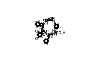 O=C1N[C@H](CCc2ccccc2)C(=O)N[C@@H](C(=O)O)Cc2ccc(cc2)NC(=O)[C@H](O)[C@@H](O)C(=O)N[C@H](Cc2ccccc2)C(=O)N[C@H]1Cc1ccc(Cl)cc1Cl